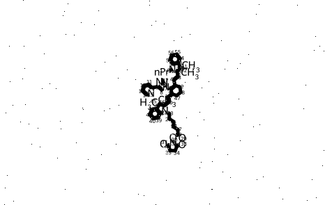 CCC[N+]1=C(/C=C/C2=C(n3cc(-c4ccccn4)nn3)C(=C/C=C3/N(CCCCCC(=O)ON4C(=O)CCC4=O)c4ccccc4C3(C)C)/CCC2)C(C)(C)c2ccccc21